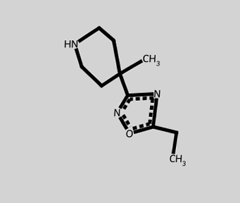 CCc1nc(C2(C)CCNCC2)no1